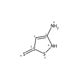 NC1=CS(=S)SN1